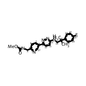 COC(=O)NCc1ccc(-c2ccc(NCC(C)(C)c3ccc(F)cc3)nn2)cn1